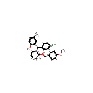 C=C[C@H](Oc1ccc(C)cc1)[C@@H](Cc1ccc(F)cc1)[C@H](C)OCc1ccc(OC)cc1